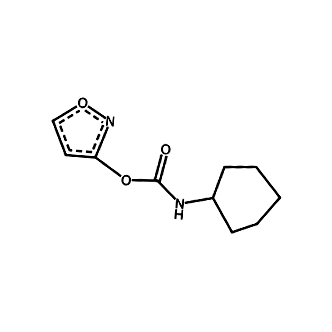 O=C(NC1CCCCC1)Oc1ccon1